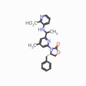 Cc1cc(C(C)Nc2cccnc2C(=O)O)nc(N2C(=O)OC[C@@H]2Cc2ccccc2)c1